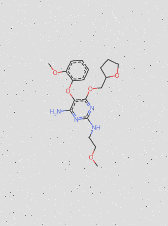 COCCNc1nc(N)c(Oc2ccccc2OC)c(OCC2CCCO2)n1